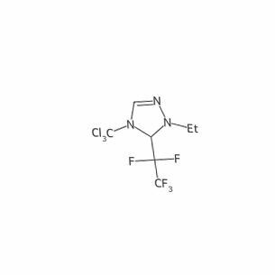 CCN1N=CN(C(Cl)(Cl)Cl)C1C(F)(F)C(F)(F)F